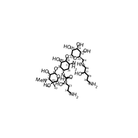 CN[C@@H]1[C@@H](O)[C@@H](O[C@H]2[C@H](NC(=O)N(O)CCN)C[C@H](N)C(O[C@H]3O[C@H](CNCC(O)CCN)[C@@H](O)[C@H](O)[C@H]3O)[C@@H]2O)OC[C@]1(C)O